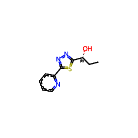 CC[C@@H](O)c1nnc(-c2ccccn2)s1